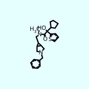 CN(CC1C2CN(Cc3ccccc3)CC21)C(=O)C(O)(c1cccs1)C1CCCC1